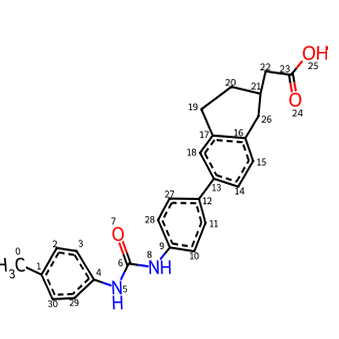 Cc1ccc(NC(=O)Nc2ccc(-c3ccc4c(c3)CCC(CC(=O)O)C4)cc2)cc1